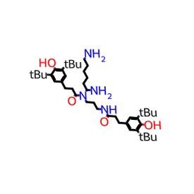 CC(C)(C)c1cc(CCC(=O)NCCCN(C(=O)CCc2cc(C(C)(C)C)c(O)c(C(C)(C)C)c2)C(N)CCCCCN)cc(C(C)(C)C)c1O